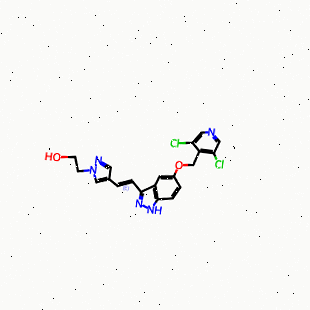 OCCn1cc(/C=C/c2n[nH]c3ccc(OCc4c(Cl)cncc4Cl)cc23)cn1